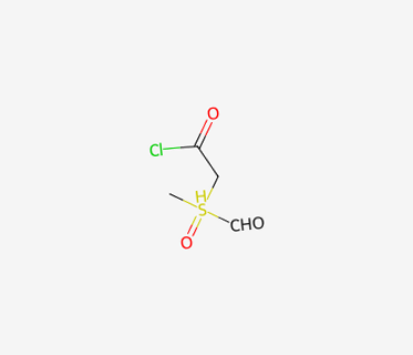 C[SH](=O)(C=O)CC(=O)Cl